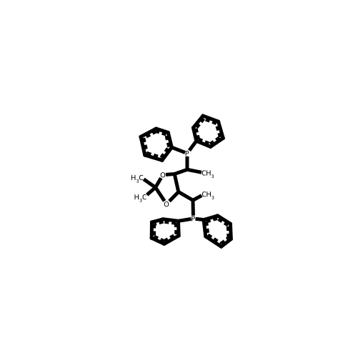 CC(C1OC(C)(C)OC1C(C)P(c1ccccc1)c1ccccc1)P(c1ccccc1)c1ccccc1